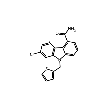 NC(=O)c1cccc2c1c1[c]cc(Cl)cc1n2Cc1cccs1